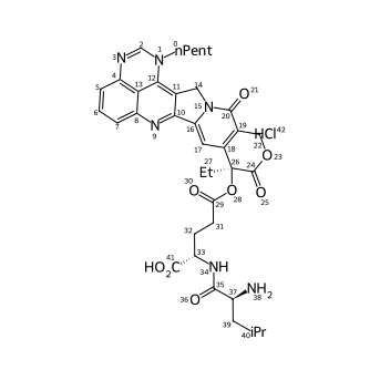 CCCCCN1C=Nc2cccc3nc4c(c1c23)Cn1c-4cc2c(c1=O)COC(=O)[C@@]2(CC)OC(=O)CC[C@H](NC(=O)[C@@H](N)CC(C)C)C(=O)O.Cl